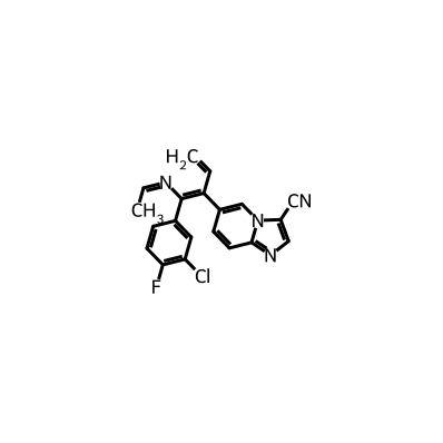 C=C/C(=C(\N=C/C)c1ccc(F)c(Cl)c1)c1ccc2ncc(C#N)n2c1